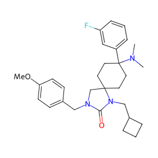 COc1ccc(CN2CC3(CCC(c4cccc(F)c4)(N(C)C)CC3)N(CC3CCC3)C2=O)cc1